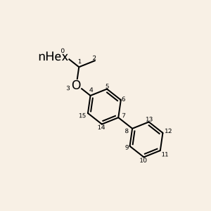 CCCCCCC(C)Oc1ccc(-c2ccccc2)cc1